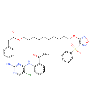 CNC(=O)c1ccccc1Nc1nc(Nc2ccc(CC(=O)OCCCCCCCCCCOc3nonc3S(=O)(=O)c3ccccc3)cc2)ncc1Cl